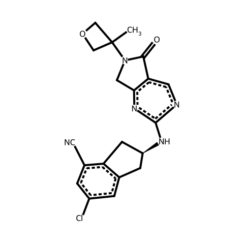 CC1(N2Cc3nc(N[C@H]4Cc5cc(Cl)cc(C#N)c5C4)ncc3C2=O)COC1